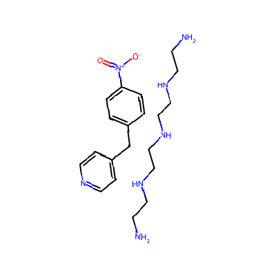 NCCNCCNCCNCCN.O=[N+]([O-])c1ccc(Cc2ccncc2)cc1